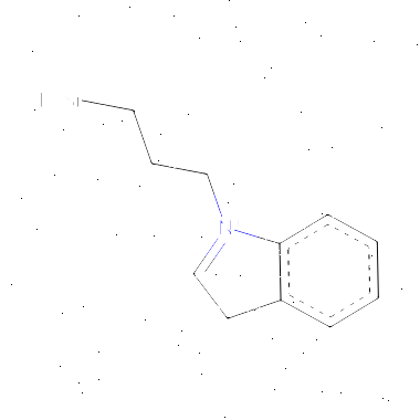 [SiH3]CCC[N+]1=CCc2ccccc21